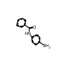 Bc1ccc(NC(=O)c2ccccc2)cc1